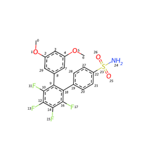 COc1cc(OC)cc(-c2c(F)c(F)c(F)c(F)c2-c2ccc(S(N)(=O)=O)cc2)c1